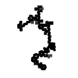 Cc1c(-c2ccc(N3CCc4cccc(CNc5nc6ccccc6s5)c4C3)nc2C(=O)O)cnn1CC12CC3(C)CC(C)(C1)CC(OCCOCCN(CCCP(=O)(O)O)C(=O)OCc1ccc(NC(=O)[C@H](CCCCNC(N)=O)NC(=O)[C@@H](NC(=O)CCCCCN4C(=O)C=CC4=O)C(C)C)cc1)(C3)C2